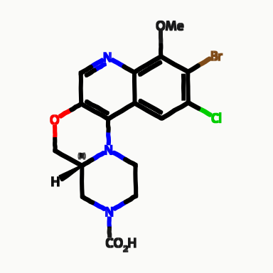 COc1c(Br)c(Cl)cc2c3c(cnc12)OC[C@H]1CN(C(=O)O)CCN31